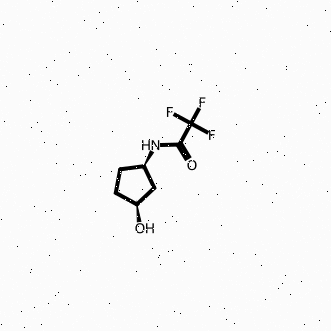 O=C(N[C@@H]1CC[C@H](O)C1)C(F)(F)F